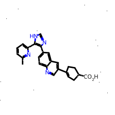 Cc1cccc(-c2[nH]cnc2-c2ccc3ncc(C4=CCC(C(=O)O)CC4)cc3c2)n1